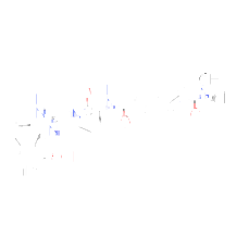 CC(C)C(O)c1cccc2[nH]c(Cn3cccc(NC(=O)CCC/C=C/C(=O)N(C)C)c3=O)nc12